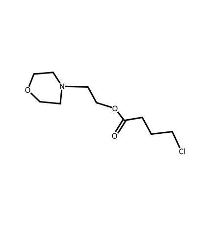 O=C(CCCCl)OCCN1CCOCC1